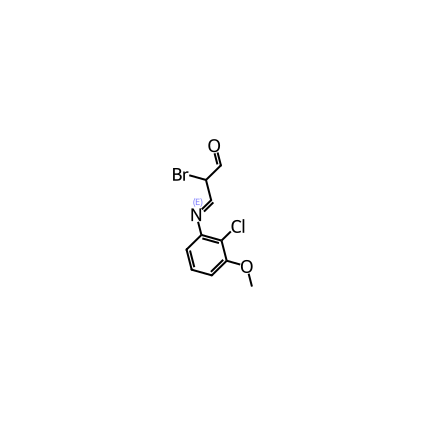 COc1cccc(/N=C/C(Br)C=O)c1Cl